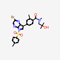 Cc1ccc(S(=O)(=O)n2cc(-c3ccc(C(=O)N(C)CC(C)(C)O)c(C)c3)c3nc(Br)cnc32)cc1